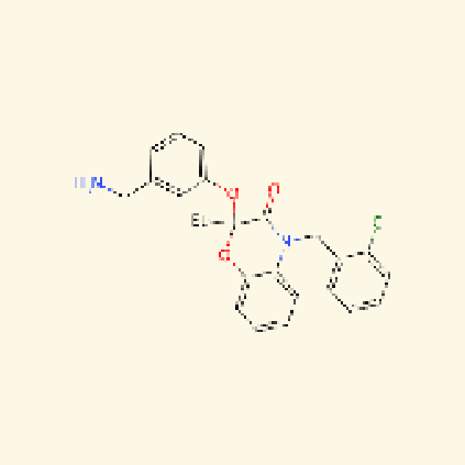 CCC1(Oc2cccc(CN)c2)Oc2ccccc2N(Cc2ccccc2Cl)C1=O